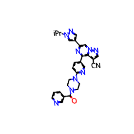 CC(C)n1cc(-c2cn3ncc(C#N)c3c(-c3ccc(N4CCN(C(=O)c5cccnc5)CC4)nc3)n2)cn1